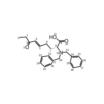 CCC(=O)/C=C/CC[C@H](C(=O)O)N(Cc1ccccc1)Cc1ccccc1